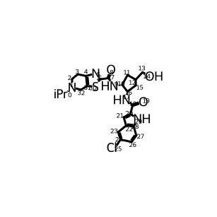 CC(C)N1CCc2nc(C(=O)N[C@@H]3CC(CO)C[C@H]3NC(=O)c3cc4cc(Cl)ccc4[nH]3)sc2C1